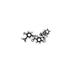 C[C@]1(O)C2CCC1C[C@@H](S(=O)(=O)c1cc(C(=O)Nc3ccc(F)c(C4CC4)c3)ccc1Cl)C2